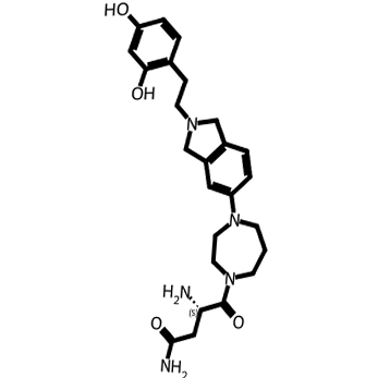 NC(=O)C[C@H](N)C(=O)N1CCCN(c2ccc3c(c2)CN(CCc2ccc(O)cc2O)C3)CC1